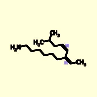 C/C=C(\C=C/CC(C)C)CCCCCCN